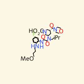 COCCCCNc1ccc(F)cc1NC(=O)C(=O)N(CC(C)C)[C@H]1C[C@@H](C(=O)N2CCOCC2)CN(C(=O)O)C1